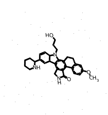 COc1ccc2c(c1)CCc1c-2c2c(c3c1N(CCCO)C1C=CC(C4CCCCN4)=CC31)CNC2=O